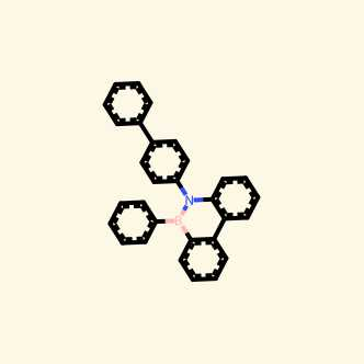 c1ccc(B2c3ccccc3-c3ccccc3N2c2ccc(-c3ccccc3)cc2)cc1